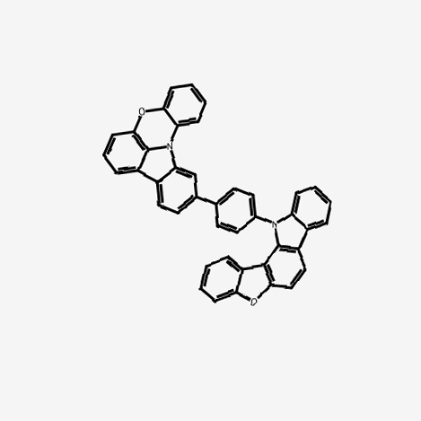 c1ccc2c(c1)Oc1cccc3c4ccc(-c5ccc(-n6c7ccccc7c7ccc8oc9ccccc9c8c76)cc5)cc4n-2c13